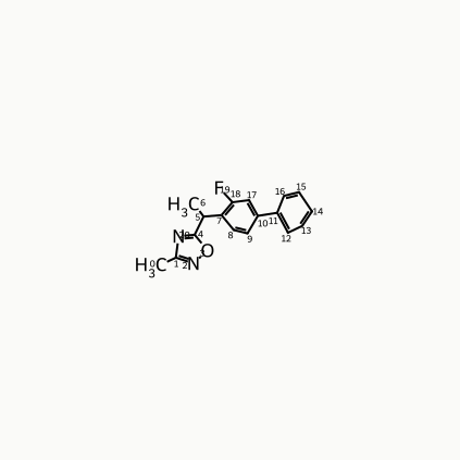 Cc1noc(C(C)c2ccc(-c3ccccc3)cc2F)n1